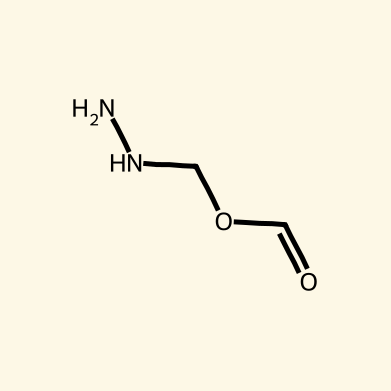 NNCOC=O